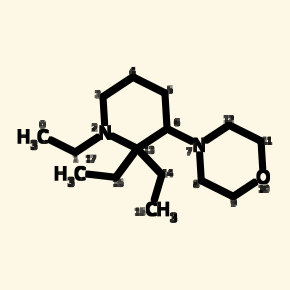 CCN1CCCC(N2CCOCC2)C1(CC)CC